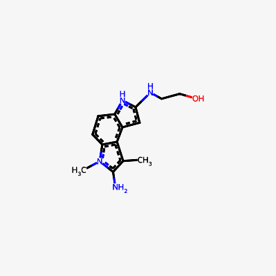 Cc1c(N)n(C)c2ccc3[nH]c(NCCO)cc3c12